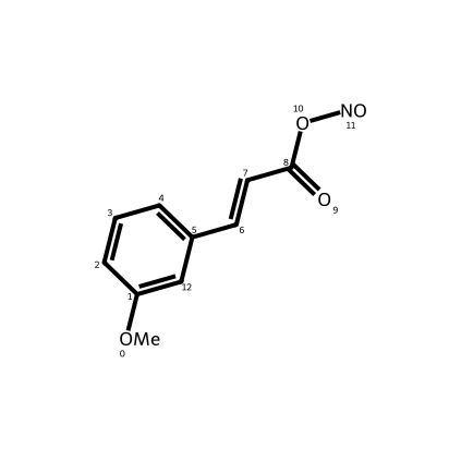 COc1cccc(/C=C/C(=O)ON=O)c1